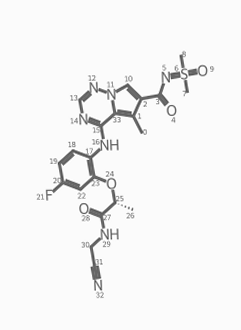 Cc1c(C(=O)N=S(C)(C)=O)cn2ncnc(Nc3ccc(F)cc3O[C@H](C)C(=O)NCC#N)c12